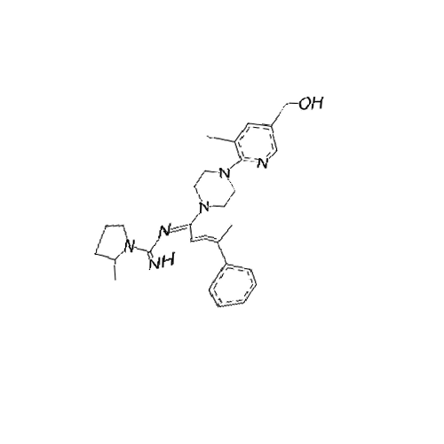 C/C(=C\C(=N/C(=N)N1CCCC1C)N1CCN(c2ncc(CO)cc2C)CC1)c1ccccc1